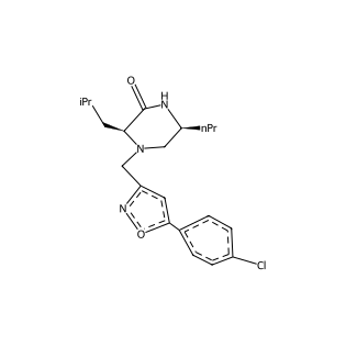 CCC[C@H]1CN(Cc2cc(-c3ccc(Cl)cc3)on2)[C@@H](CC(C)C)C(=O)N1